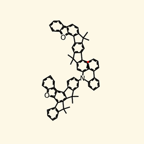 CC1(C)c2cc(N(c3ccc4c(c3)C(C)(C)c3c5c(c6oc7ccccc7c6c3-4)-c3ccccc3C5(C)C)c3ccccc3-c3ccccc3)ccc2-c2cc3c(cc21)-c1c(ccc2c1oc1ccccc12)C3(C)C